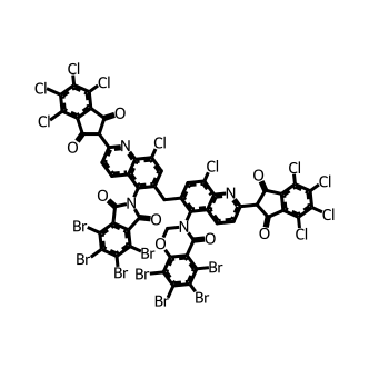 O=C1c2c(Cl)c(Cl)c(Cl)c(Cl)c2C(=O)C1c1ccc2c(N3COc4c(Br)c(Br)c(Br)c(Br)c4C3=O)c(Cc3cc(Cl)c4nc(C5C(=O)c6c(Cl)c(Cl)c(Cl)c(Cl)c6C5=O)ccc4c3N3C(=O)c4c(Br)c(Br)c(Br)c(Br)c4C3=O)cc(Cl)c2n1